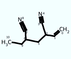 C=CC(C#N)CC(C#N)CC